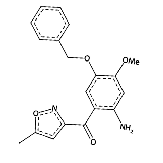 COc1cc(N)c(C(=O)c2cc(C)on2)cc1OCc1ccccc1